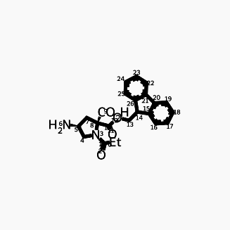 CCC(=O)N1C[C@@H](N)C[C@]1(C(=O)O)C(=O)OCC1c2ccccc2-c2ccccc21